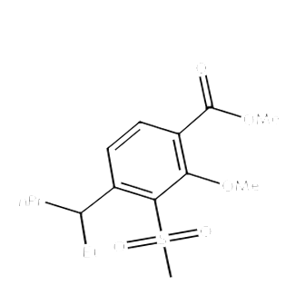 CCCC(CC)c1ccc(C(=O)OC)c(OC)c1S(C)(=O)=O